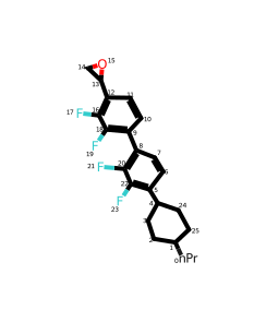 CCCC1CCC(c2ccc(-c3ccc(C4CO4)c(F)c3F)c(F)c2F)CC1